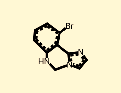 Brc1cccc2c1-c1nccn1CN2